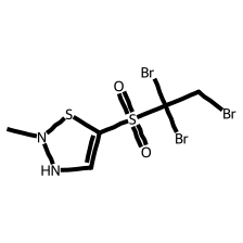 CN1NC=C(S(=O)(=O)C(Br)(Br)CBr)S1